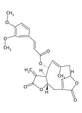 C=C1C(=O)O[C@H]2CC3=C[C@@H](C/C(C)=C/[C@@H](OC(=O)/C=C/c4ccc(OC)c(OC)c4)[C@H]12)OC3=O